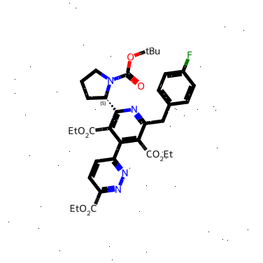 CCOC(=O)c1ccc(-c2c(C(=O)OCC)c(Cc3ccc(F)cc3)nc([C@@H]3CCCN3C(=O)OC(C)(C)C)c2C(=O)OCC)nn1